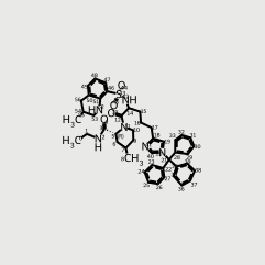 CCNC(=O)[C@H]1CC(C)CCN1C(=O)C(CCCc1cn(C(c2ccccc2)(c2ccccc2)c2ccccc2)cn1)NS(=O)(=O)c1cccc2c1NCC(C)C2